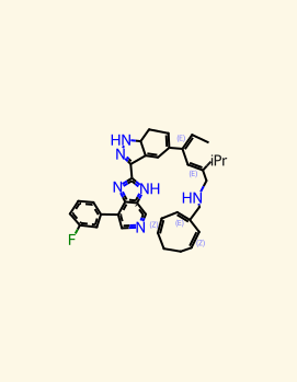 C/C=C(\C=C(\CNCC1=C/C=C\CC/C=C\1)C(C)C)C1=CCC2NN=C(c3nc4c(-c5cccc(F)c5)cncc4[nH]3)C2=C1